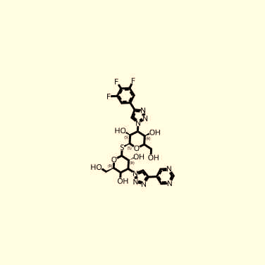 OCC1O[C@@H](SC2O[C@H](CO)C(O)C(n3cc(-c4cncnc4)nn3)[C@H]2O)[C@@H](O)C(n2cc(-c3cc(F)c(F)c(F)c3)nn2)[C@H]1O